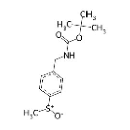 C[S+]([O-])c1ccc(CNC(=O)OC(C)(C)C)cc1